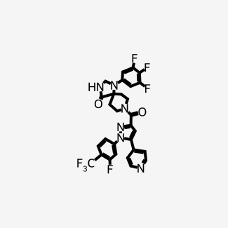 O=C(c1cc(-c2ccncc2)n(-c2ccc(C(F)(F)F)c(F)c2)n1)N1CCC2(CC1)C(=O)NCN2c1cc(F)c(F)c(F)c1